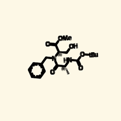 COC(=O)[C@@H](CO)N(Cc1ccccc1)C(=O)[C@@H](C)NC(=O)OC(C)(C)C